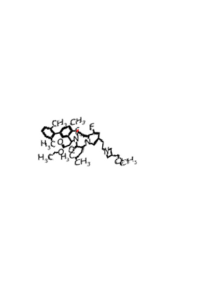 CCOC(=O)CC(c1cc(-c2c(C)cccc2C)cc(C)c1F)[N+]12CC1=C1C(F)=CC(CCN3CC(COC)C3)=CN1C(CC(C)C)C2=O